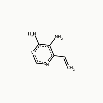 C=Cc1ncnc(N)c1N